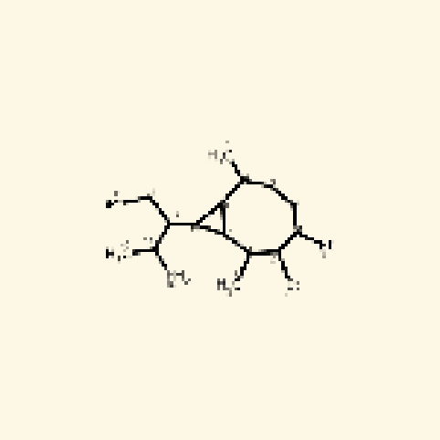 CCC1CCC(C)C2C(C(C)C1CC)C2C(CC(C)C)C(C)P